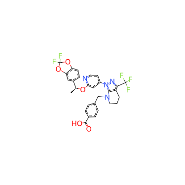 C[C@H](Oc1cc(-n2nc(C(F)(F)F)c3c2N(Cc2ccc(C(=O)O)cc2)CCC3)ccn1)c1ccc2c(c1)OC(F)(F)O2